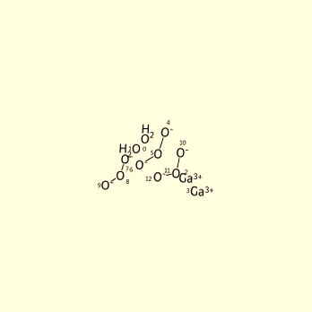 O.O.[Ga+3].[Ga+3].[O-]O[O-].[O-]O[O-].[O-]O[O-]